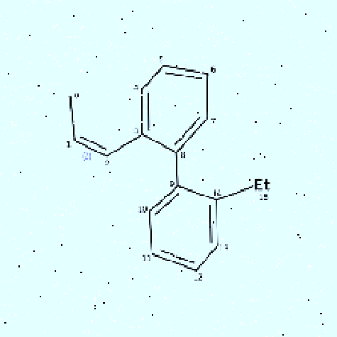 C/C=C\c1ccccc1-c1ccccc1CC